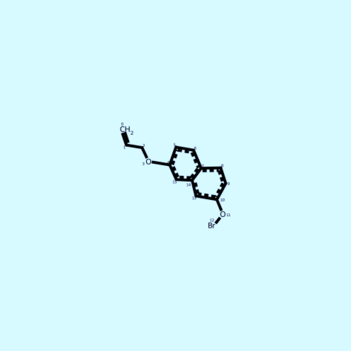 C=CCOc1ccc2ccc(OBr)cc2c1